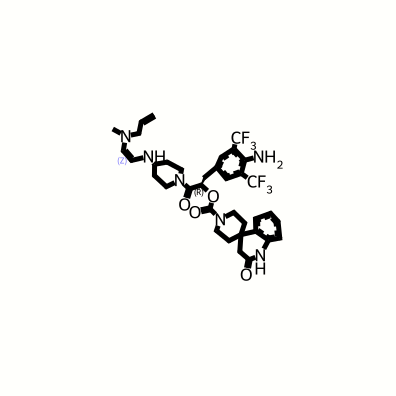 C=CCN(C)/C=C\NC1CCN(C(=O)[C@@H](Cc2cc(C(F)(F)F)c(N)c(C(F)(F)F)c2)OC(=O)N2CCC3(CC2)CC(=O)Nc2ccccc23)CC1